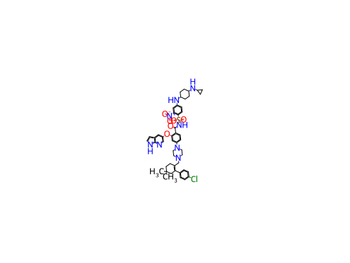 CC1(C)CCC(CN2CCN(c3ccc(C(=O)NS(=O)(=O)c4ccc(NC5CCC(NC6CC6)CC5)cc4[N+](=O)[O-])c(Oc4cnc5[nH]ccc5c4)c3)CC2)=C(c2ccc(Cl)cc2)C1